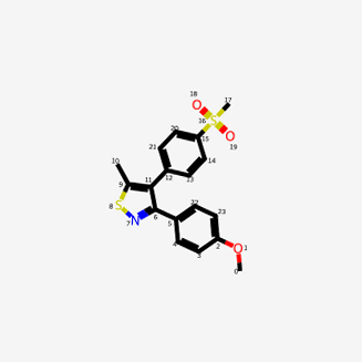 COc1ccc(-c2nsc(C)c2-c2ccc(S(C)(=O)=O)cc2)cc1